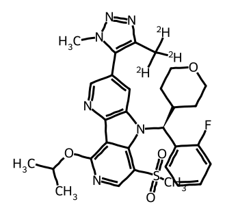 [2H]C([2H])([2H])c1nnn(C)c1-c1cnc2c3c(OC(C)C)ncc(S(C)(=O)=O)c3n([C@H](c3ccccc3F)C3CCOCC3)c2c1